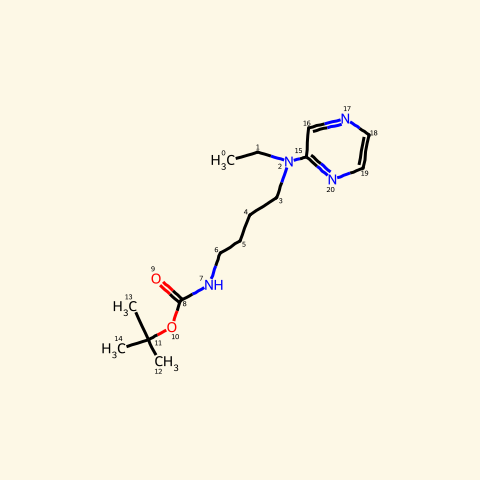 CCN(CCCCNC(=O)OC(C)(C)C)c1cnccn1